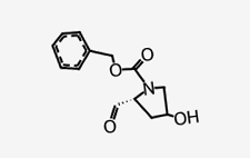 O=C[C@H]1CC(O)CN1C(=O)OCc1ccccc1